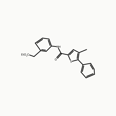 CCOC(=O)Cc1cccc(NC(=O)c2cc(C)c(-c3ccccc3)s2)c1